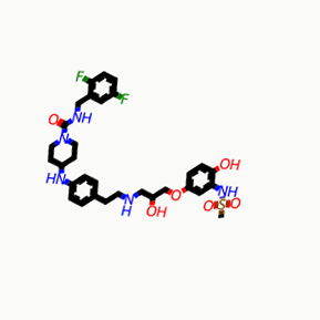 CS(=O)(=O)Nc1cc(OCC(O)CNCCc2ccc(NC3CCN(C(=O)NCc4cc(F)ccc4F)CC3)cc2)ccc1O